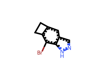 Brc1c2c(cc3cn[nH]c13)CC2